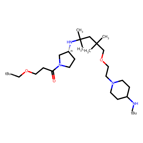 CC(C)(C)COCCC(=O)N1CC[C@@H](NC(C)(C)CC(C)(C)COCCN2CCC(NC(C)(C)C)CC2)C1